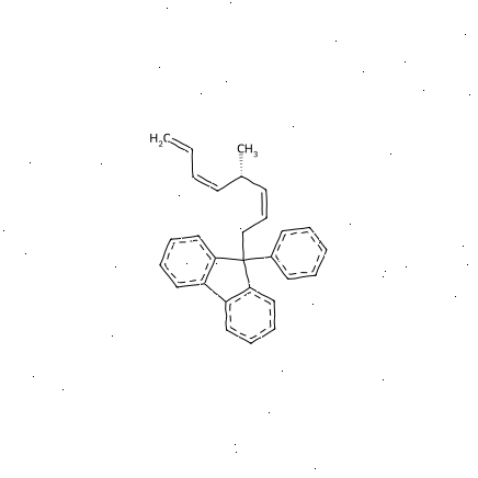 C=C/C=C\[C@H](C)/C=C\CC1(c2ccccc2)c2ccccc2-c2ccccc21